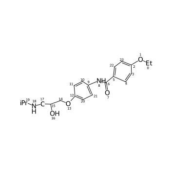 CCOc1ccc(C(=O)Nc2ccc(OCC(O)CNC(C)C)cc2)cc1